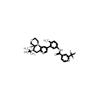 Cc1ccc(NC(=O)c2ccnc(C(F)(F)F)c2)cc1-c1cnc2c(c1)N1CCOC[C@H]1[C@H](C(C)(C)O)C2